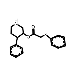 O=C(CSc1ccccc1)OC1CNCCC1c1ccccc1